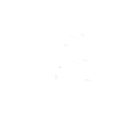 COc1ccc(C(=N)NC(=O)c2ccccc2)cc1CC(=O)Nc1ccc(C(=O)N2CCCC2)c(C)c1